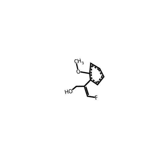 COc1ccccc1/C(=C\F)CO